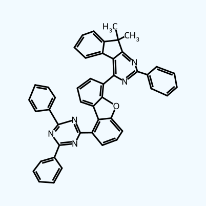 CC1(C)c2ccccc2-c2c(-c3cccc4c3oc3cccc(-c5nc(-c6ccccc6)nc(-c6ccccc6)n5)c34)nc(-c3ccccc3)nc21